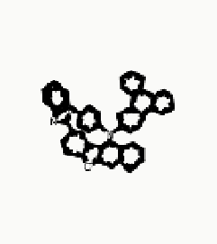 c1ccc(-c2ccc(N(c3ccc4c5ccccc5c5ccccc5c4c3)c3c4ccccc4cc4oc5ccc(-c6nc7ccccc7o6)cc5c34)cc2)cc1